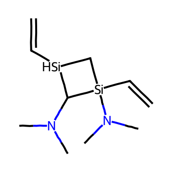 C=C[SiH]1C[Si](C=C)(N(C)C)C1N(C)C